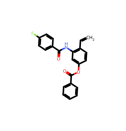 C=Cc1ccc(OC(=O)c2ccccc2)cc1NC(=O)c1ccc(F)cc1